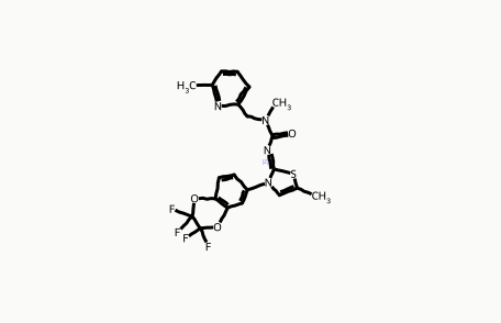 Cc1cccc(CN(C)C(=O)/N=c2\sc(C)cn2-c2ccc3c(c2)OC(F)(F)C(F)(F)O3)n1